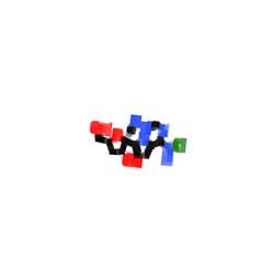 N#C[C@@]1(c2ccc3c(NCl)ncnn23)O[C@H](CO)C[C@H]1O